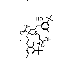 Cc1cc(CCCC(CCCc2cc(C)cc(C(C)(C)C)c2O)(CSCCC(=O)O)C(=O)O)c(O)c(C(C)(C)C)c1